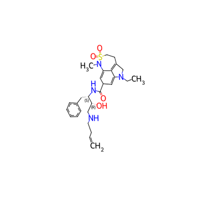 C=CCCNC[C@@H](O)[C@H](Cc1ccccc1)NC(=O)C1C=C2C3=C(CCS(=O)(=O)N(C)C3=C1)CN2CC